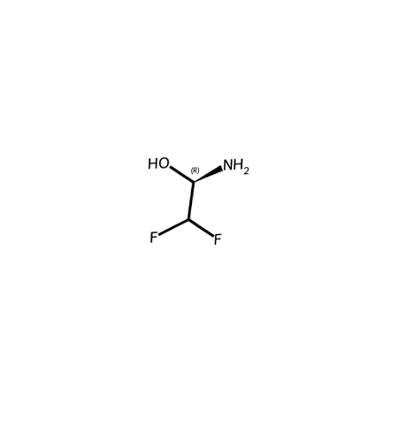 N[C@H](O)C(F)F